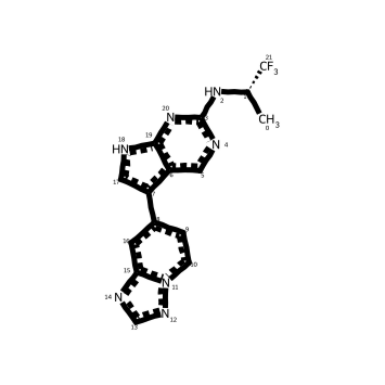 C[C@H](Nc1ncc2c(-c3ccn4ncnc4c3)c[nH]c2n1)C(F)(F)F